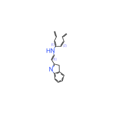 C=C/C=C\C(=C/C=C)N/C=C/C1=Nc2ccccc2C1